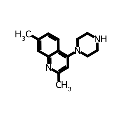 Cc1ccc2c(N3CCNCC3)cc(C)nc2c1